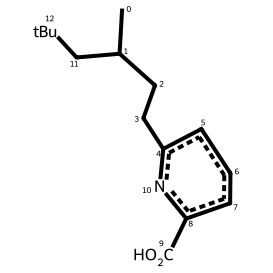 CC(CCc1cccc(C(=O)O)n1)CC(C)(C)C